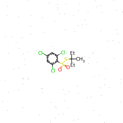 CCC(C)(CC)SS(=O)(=O)c1c(Cl)cc(Cl)cc1Cl